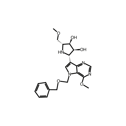 COC[C@H]1N[C@@H](c2cn(COCc3ccccc3)c3c(OC)ncnc23)[C@H](O)[C@@H]1O